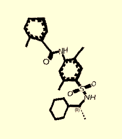 Cc1cc(S(=O)(=O)N[C@H](C)C2CCCCC2)c(C)cc1NC(=O)c1ccccc1C